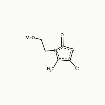 CCc1sc(=O)n(CCOC)c1C